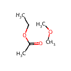 CCOC(C)=O.COC